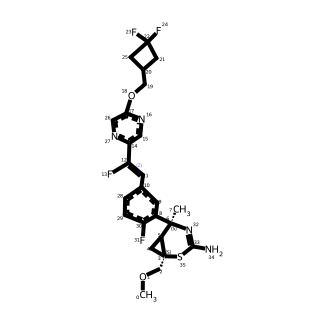 COC[C@]12CC1[C@@](C)(c1cc(/C=C(\F)c3cnc(OCC4CC(F)(F)C4)cn3)ccc1F)N=C(N)S2